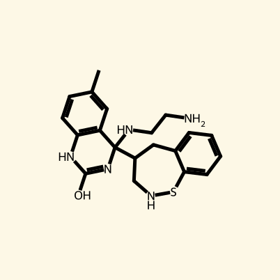 Cc1ccc2c(c1)C(NCCN)(C1CNSc3ccccc3C1)N=C(O)N2